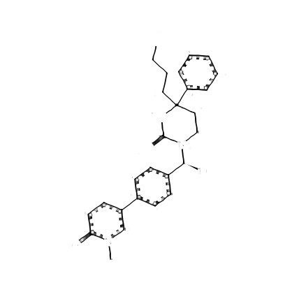 CC[C@@H](c1ccc(-c2ccc(=O)n(C)c2)cc1)N1CCC(CCCO)(c2ccccc2)OC1=O